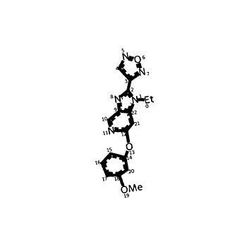 CCn1c(-c2cnon2)nc2cnc(Oc3cccc(OC)c3)cc21